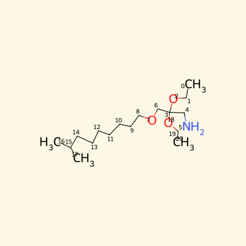 CCOC(CN)(COCCCCCCCC(C)C)OCC